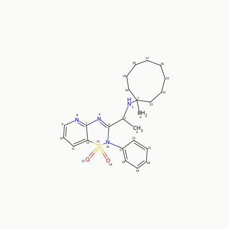 BC1(NC(C)C2=Nc3ncccc3S(=O)(=O)N2c2ccccc2)CCCCCCCC1